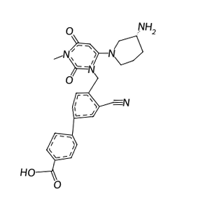 Cn1c(=O)cc(N2CCC[C@@H](N)C2)n(Cc2ccc(-c3ccc(C(=O)O)cc3)cc2C#N)c1=O